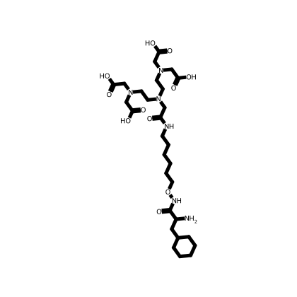 NC(CC1CCCCC1)C(=O)NOCCCCCCNC(=O)CN(CCN(CC(=O)O)CC(=O)O)CCN(CC(=O)O)CC(=O)O